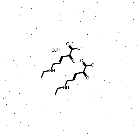 CCNCC=CC(=O)C(=O)[O-].CCNCC=CC(=O)C(=O)[O-].[Cu+2]